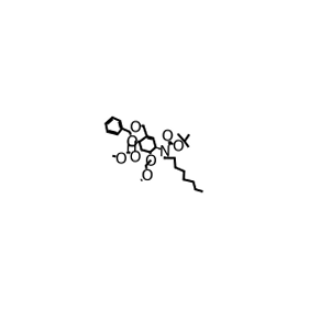 CCCCCCCCN(C(=O)OC(C)(C)C)[C@@H]1C=C2COC(c3ccccc3)O[C@@H]2C(OCOC)C1OCOC